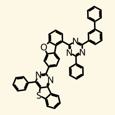 c1ccc(-c2cccc(-c3nc(-c4ccccc4)nc(-c4cccc5oc6cc(-c7nc(-c8ccccc8)c8sc9ccccc9c8n7)ccc6c45)n3)c2)cc1